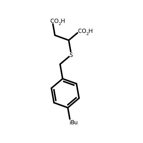 CCC(C)c1ccc(CSC(CC(=O)O)C(=O)O)cc1